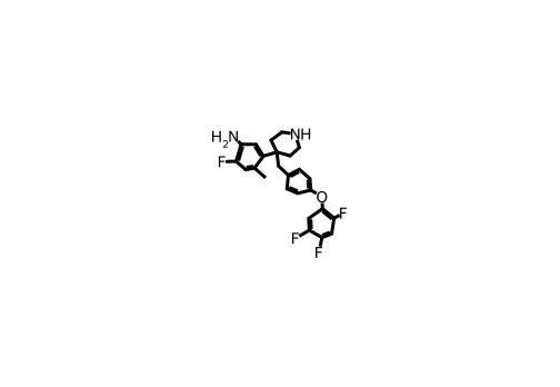 Cc1cc(F)c(N)cc1C1(Cc2ccc(Oc3cc(F)c(F)cc3F)cc2)CCNCC1